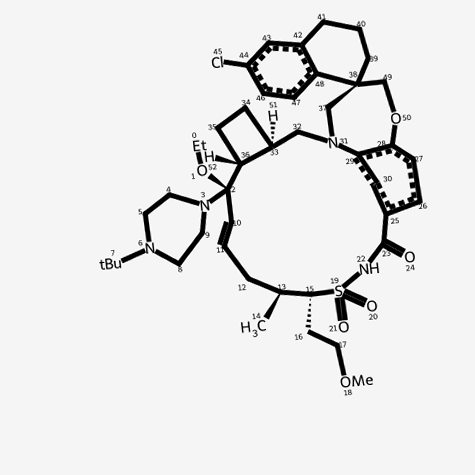 CCO[C@]1(N2CCN(C(C)(C)C)CC2)/C=C/C[C@H](C)[C@@H](CCOC)S(=O)(=O)NC(=O)c2ccc3c(c2)N(C[C@@H]2CC[C@H]21)C[C@@]1(CCCc2cc(Cl)ccc21)CO3